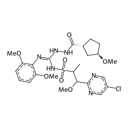 COc1cccc(OC)c1/N=C(/NNC(=O)[C@@H]1CC[C@@H](OC)C1)NS(=O)(=O)C(C)C(OC)c1ncc(Cl)cn1